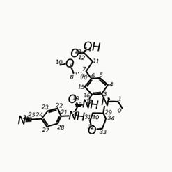 CCN(c1ccc([C@H](COC)CC(=O)O)cc1NC(=O)Nc1ccc(C#N)cc1)C1CCOCC1